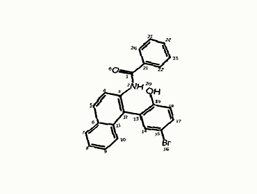 O=C(Nc1ccc2ccccc2c1-c1cc(Br)ccc1O)c1ccccc1